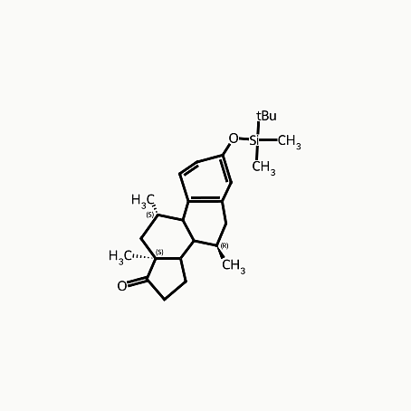 C[C@@H]1Cc2cc(O[Si](C)(C)C(C)(C)C)ccc2C2C1C1CCC(=O)[C@@]1(C)C[C@@H]2C